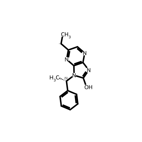 C[CH]c1cnc2nc(O)n([C@@H](C)c3ccccc3)c2n1